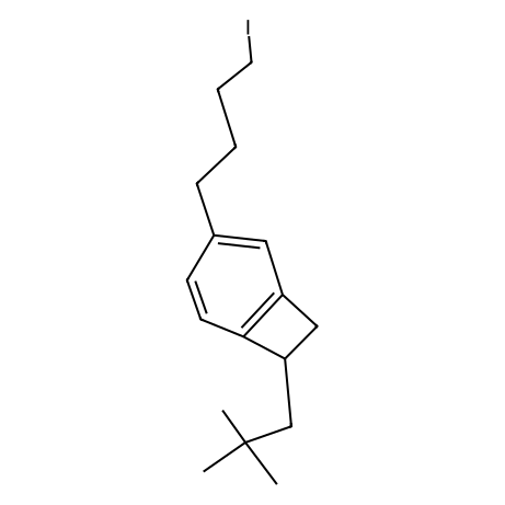 CC(C)(C)CC1Cc2cc(CCCCI)ccc21